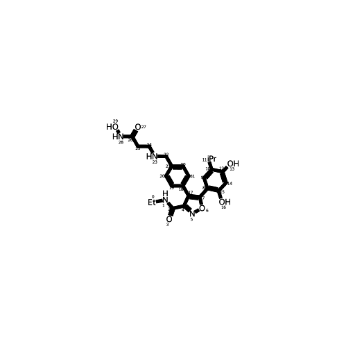 CCNC(=O)c1noc(-c2cc(C(C)C)c(O)cc2O)c1-c1ccc(CNCCC(=O)NO)cc1